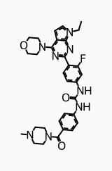 CCn1ccc2c(N3CCOCC3)nc(-c3ccc(NC(=O)Nc4ccc(C(=O)N5CCN(C)CC5)cc4)cc3F)nc21